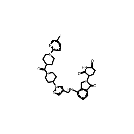 O=C1CCC(N2Cc3c(NCc4cnn(C5CCN(C(=O)C6CCN(c7ccc(I)cn7)CC6)CC5)c4)cccc3C2=O)C(=O)N1